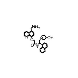 CN(C(=O)COc1ccc(CN)c2cccnc12)C(CN1CC[C@H](O)C1)c1cccc2ccccc12